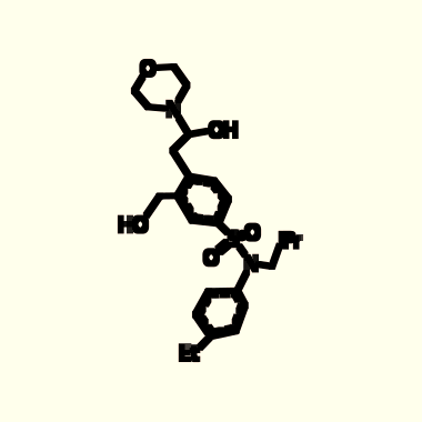 CCc1ccc(N(CC(C)C)S(=O)(=O)c2ccc(CC(O)N3CCOCC3)c(CO)c2)cc1